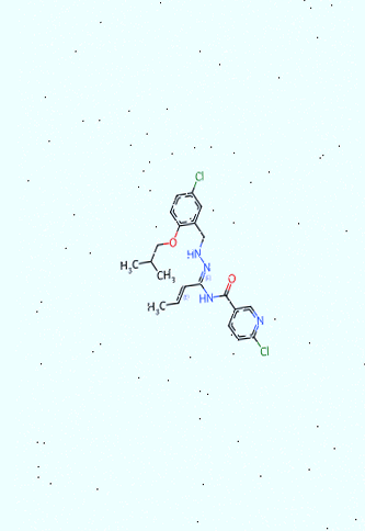 C/C=C/C(=N\NCc1cc(Cl)ccc1OCC(C)C)NC(=O)c1ccc(Cl)nc1